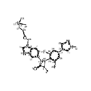 C[C@H]1C(=O)N(c2ccc3c(c2)ncn3COCC[Si](C)(C)C)[C@H]1c1c(F)cc(-c2cnn(C)c2)cc1F